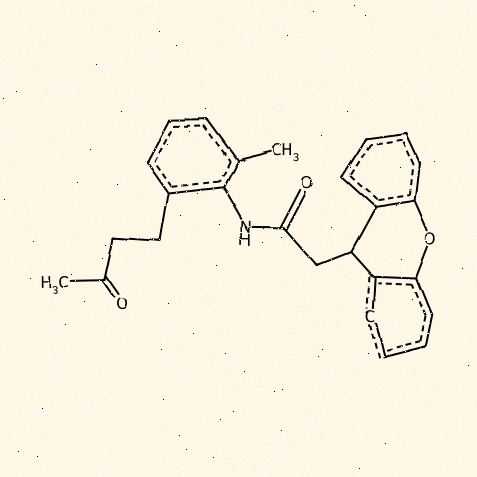 CC(=O)CCc1cccc(C)c1NC(=O)CC1c2ccccc2Oc2ccccc21